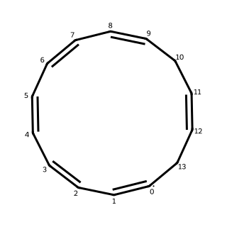 [C]1=CC=CC=CC=CC=CCC=CC1